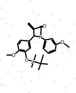 C=C1C(=O)N(c2cccc(OC)c2)C1c1ccc(OC)c(O[Si](C)(C)C(C)(C)C)c1